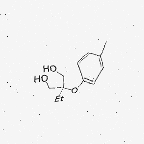 CCC(CO)(CO)Oc1ccc(C)cc1